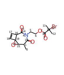 CC1C(=O)N(CCOC(=O)C(C)(C)Br)C(=O)C2C=CC23OC13